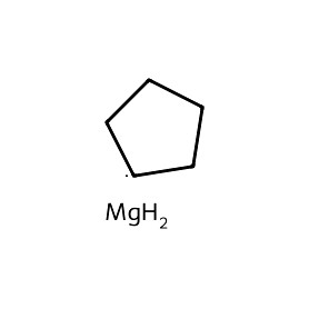 [CH]1CCCC1.[MgH2]